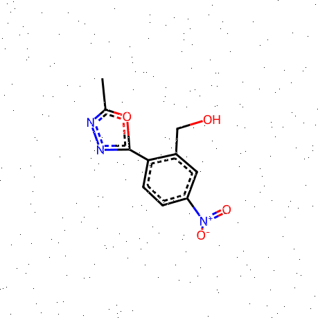 Cc1nnc(-c2ccc([N+](=O)[O-])cc2CO)o1